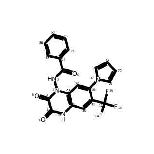 O=C(Nn1c(=O)c(=O)[nH]c2cc(C(F)(F)F)c(-n3cccc3)cc21)c1ccccc1